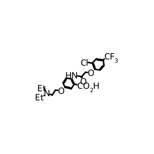 CCN(CC)CCOc1ccc(NC(=O)COc2ccc(C(F)(F)F)cc2Cl)c(C(=O)O)c1